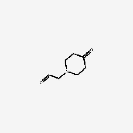 O=[C]CN1CCC(=O)CC1